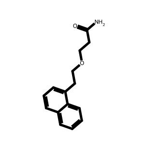 NC(=O)CCOCCc1cccc2ccccc12